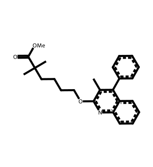 COC(=O)C(C)(C)CCCCOc1nc2ccccc2c(-c2ccccc2)c1C